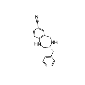 N#Cc1ccc2c(c1)CN[C@H](Cc1ccccc1)CN2